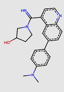 CN(C)c1ccc(-c2ccc3nccc(C(=N)N4CCC(O)C4)c3c2)cc1